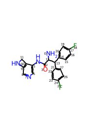 NC(C(=O)Nc1cncc2c1CN2)C(c1ccc(F)cc1)c1ccc(F)cc1